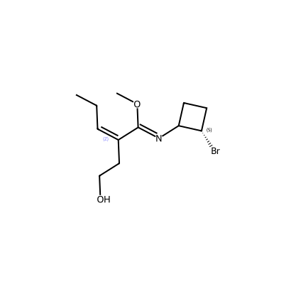 CC/C=C(/CCO)C(=NC1CC[C@@H]1Br)OC